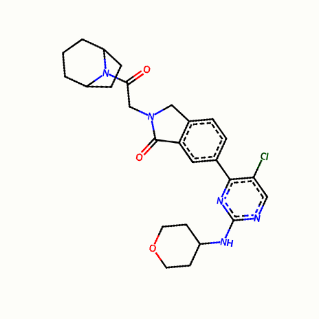 O=C1c2cc(-c3nc(NC4CCOCC4)ncc3Cl)ccc2CN1CC(=O)N1C2CCCC1CC2